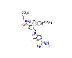 COc1ccc(-c2cc(C(=O)NCCCC(=O)O)ccc2CN2CCc3cc(C(=N)N)ccc32)c(C(=O)O)c1